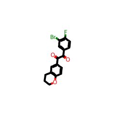 O=C(C(=O)c1ccc2c(c1)CCCO2)c1ccc(F)c(Br)c1